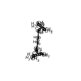 CC1=CC(C)(C)Nc2cc3c(cc21)C(c1ccc(C(=O)NCCCCCC(=O)NCCOCCNC(=O)CCCCCNC(=O)c2ccc(C4=c5cc6c(cc5Oc5cc7c(cc54)C(C)=CC(C)(C)N7)=NC(C)(C)C=C6C)cc2)cc1)=c1cc2c(cc1C3)=NC(C)(C)C=C2C